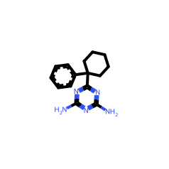 Nc1nc(N)nc(C2(c3ccccc3)CCCCC2)n1